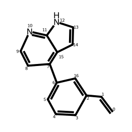 C=Cc1cccc(-c2ccnc3[nH]ccc23)c1